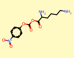 NCCCCC(N)C(=O)OC(=O)Oc1ccc([N+](=O)[O-])cc1